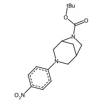 CC(C)(C)OC(=O)N1CC2CC1CN(c1ccc([N+](=O)[O-])cc1)C2